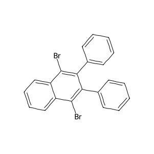 Brc1c(-c2ccccc2)c(-c2ccccc2)c(Br)c2ccccc12